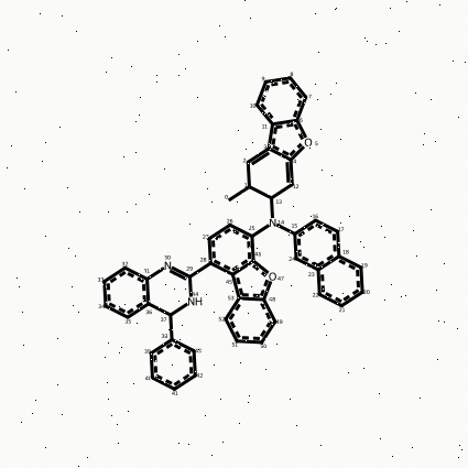 CC1C=c2c(oc3ccccc23)=CC1N(c1ccc2ccccc2c1)c1ccc(C2=Nc3ccccc3C(c3ccccc3)N2)c2c1oc1ccccc12